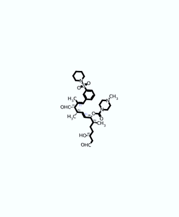 C/C(=C\c1cccc(S(=O)(=O)N2CCCCC2)c1)[C@@H](C=O)[C@@H](C)/C=C/[C@H](OC(=O)N1CCN(C)CC1)[C@@H](C)CC[C@@H](O)CC=O